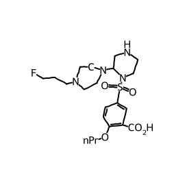 CCCOc1ccc(S(=O)(=O)N2CCNCC2N2CCN(CCCF)CC2)cc1C(=O)O